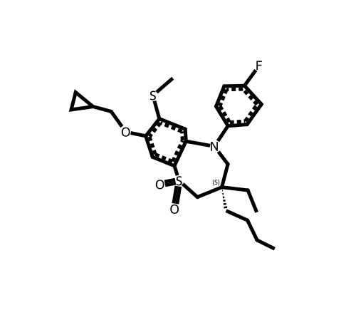 CCCC[C@@]1(CC)CN(c2ccc(F)cc2)c2cc(SC)c(OCC3CC3)cc2S(=O)(=O)C1